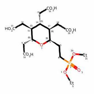 CCOP(=O)(CC[C@H]1O[C@H](CC(=O)O)[C@@H](CC(=O)O)[C@H](CC(=O)O)[C@H]1CC(=O)O)OCC